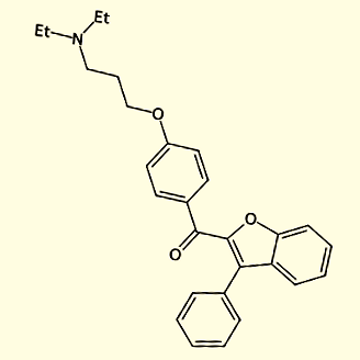 CCN(CC)CCCOc1ccc(C(=O)c2oc3ccccc3c2-c2ccccc2)cc1